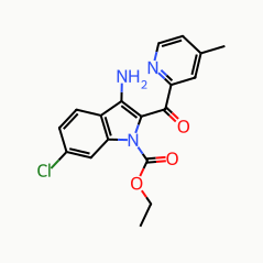 CCOC(=O)n1c(C(=O)c2cc(C)ccn2)c(N)c2ccc(Cl)cc21